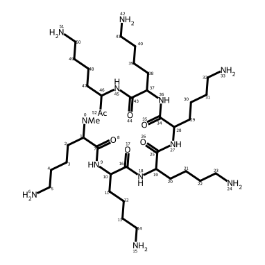 CNC(CCCCN)C(=O)NC(CCCCN)C(=O)NC(CCCCN)C(=O)NC(CCCCN)C(=O)NC(CCCCN)C(=O)NC(CCCCN)C(C)=O